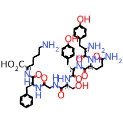 NCCCC[C@H](NC(=O)[C@H](Cc1ccccc1)NC(=O)CNC(=O)[C@H](CO)NC(=O)[C@H](Cc1ccc(O)cc1)NC(=O)[C@H](CCC(N)=O)NC(=O)[C@@H](N)Cc1ccc(O)cc1)C(=O)O